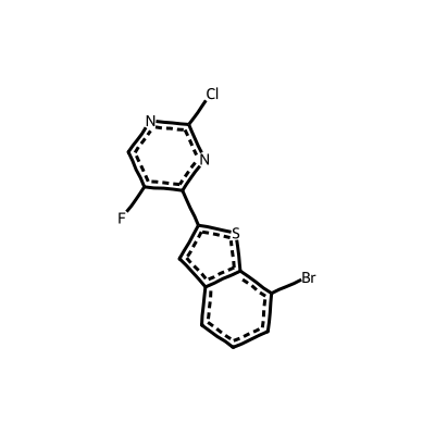 Fc1cnc(Cl)nc1-c1cc2cccc(Br)c2s1